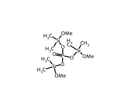 CO[Si](C)(C)OP(=O)(O[Si](C)(C)OC)O[Si](C)(C)OC